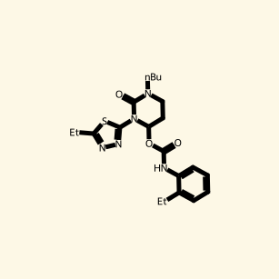 CCCCN1CCC(OC(=O)Nc2ccccc2CC)N(c2nnc(CC)s2)C1=O